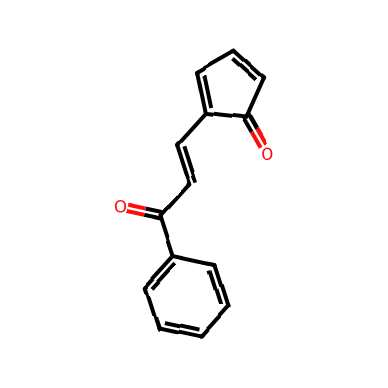 O=C1C=CC=C1C=CC(=O)c1ccccc1